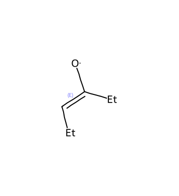 CC/C=C(/[O])CC